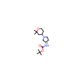 CC(C)(C)OC(=O)N[C@H]1CCN(C2CCOC(C)(C)C2)C1